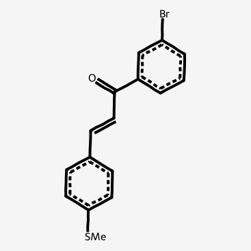 CSc1ccc(C=CC(=O)c2cccc(Br)c2)cc1